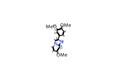 COc1ccn2cc(-c3ccc(OC)c(OC)c3)nc2c1